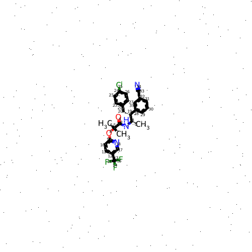 C[C@H](NC(=O)C(C)(C)Oc1ccc(C(F)(F)F)cn1)[C@H](Cc1ccc(Cl)cc1)c1cccc(C#N)c1